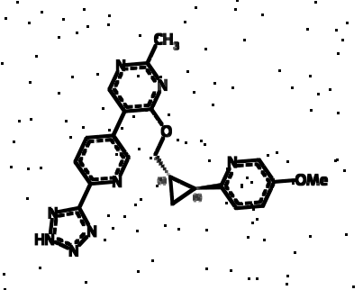 COc1ccc([C@H]2C[C@@H]2COc2nc(C)ncc2-c2ccc(-c3nn[nH]n3)nc2)nc1